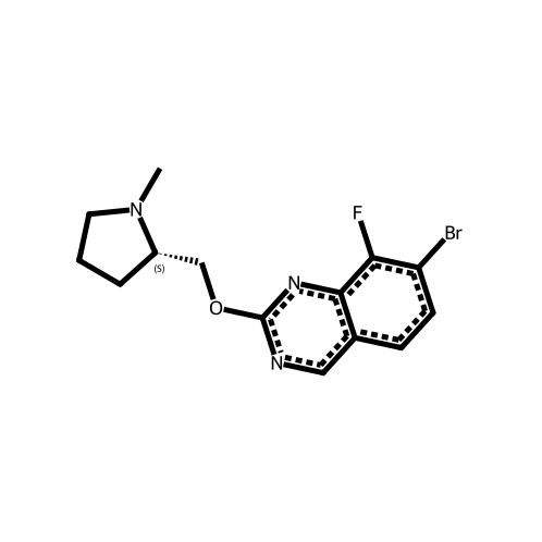 CN1CCC[C@H]1COc1ncc2ccc(Br)c(F)c2n1